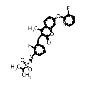 Cc1c(Cc2cccc(N=NS(=O)(=O)C(C)C)c2F)c(=O)oc2cc(Oc3ncccc3F)ccc12